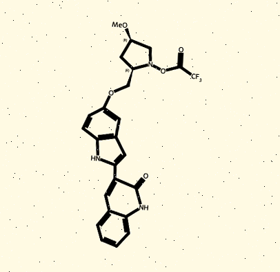 CO[C@@H]1C[C@H](COc2ccc3[nH]c(-c4cc5ccccc5[nH]c4=O)cc3c2)N(OC(=O)C(F)(F)F)C1